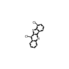 Clc1cccc2c1sc1c(Cl)c3ccccc3nc12